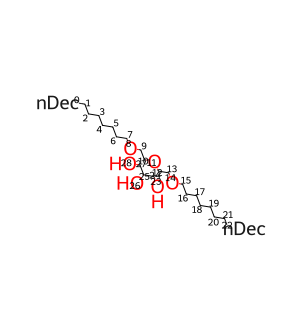 CCCCCCCCCCCCCCCCCOCCOCCOCCCCCCCCCCCCCCCCC.OCC(O)CO